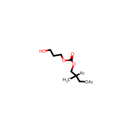 CC(=O)OCC(C)(COC(=O)OCCCO)C(C)=O